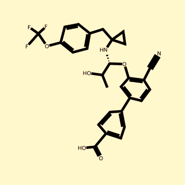 CC(O)[C@H](NC1(Cc2ccc(OC(F)(F)F)cc2)CC1)Oc1cc(-c2ccc(C(=O)O)cc2)ccc1C#N